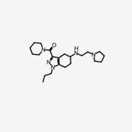 CCCn1nc(C(=O)N2CCCCC2)c2c1CCC(NCCN1CCCC1)C2